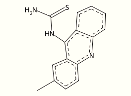 Cc1ccc2nc3ccccc3c(NC(N)=S)c2c1